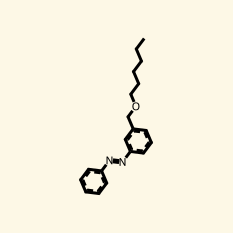 CCCCCCOCc1cccc(N=Nc2ccccc2)c1